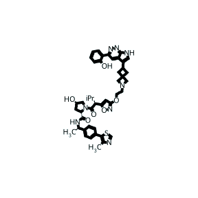 Cc1ncsc1-c1ccc([C@H](C)NC(=O)[C@@H]2C[C@@H](O)CN2C(=O)[C@@H](c2cc(OCCN3CC4(CC(c5c[nH]c6nnc(-c7ccccc7O)cc56)C4)C3)no2)C(C)C)cc1